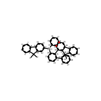 CC1(C)c2ccccc2-c2ccc(N(c3ccccc3)c3cccc(-c4ccccc4)c3-c3cccc4c3C(C)(C)c3ccccc3-4)cc21